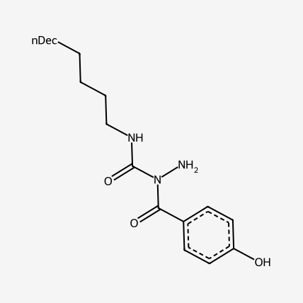 CCCCCCCCCCCCCCNC(=O)N(N)C(=O)c1ccc(O)cc1